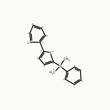 C[Si](C)(c1ccccc1)c1ccc(-c2ccccn2)s1